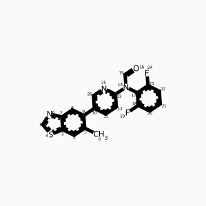 Cc1cc2scnc2cc1-c1ccc(N(C=O)c2c(F)cccc2F)nc1